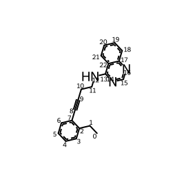 CCc1ccccc1C#CCCNc1ncnc2ccccc12